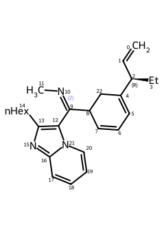 C=C[C@@H](CC)C1=CC=CC(/C(=N/C)c2c(CCCCCC)nc3ccccn23)C1